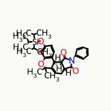 CC(C)[Si](Oc1ccc2c(c1)OC(C)(C)C1=CC[C@H]3C(=O)N(c4ccccc4)C(=O)[C@H]3[C@H]12)(C(C)C)C(C)C